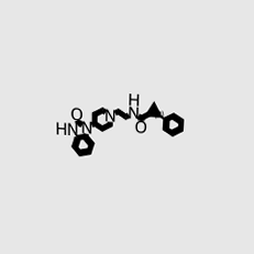 O=C(NCCN1CCC(n2c(=O)[nH]c3ccccc32)CC1)C1C[C@H]1c1ccccc1